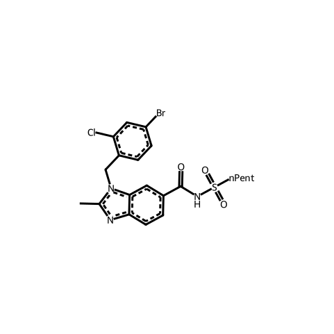 CCCCCS(=O)(=O)NC(=O)c1ccc2nc(C)n(Cc3ccc(Br)cc3Cl)c2c1